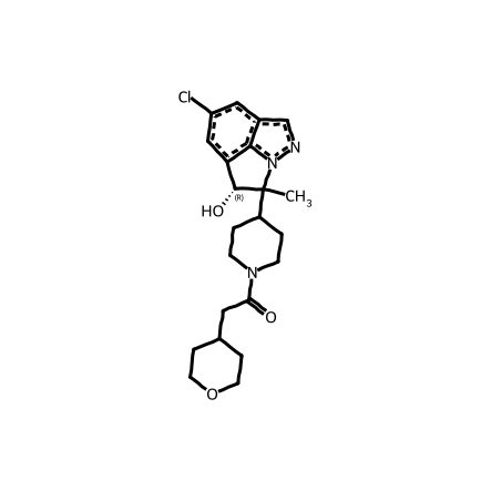 CC1(C2CCN(C(=O)CC3CCOCC3)CC2)[C@H](O)c2cc(Cl)cc3cnn1c23